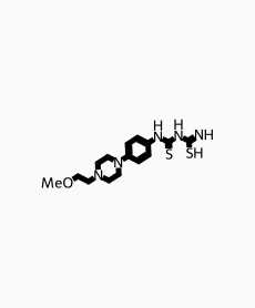 COCCN1CCN(c2ccc(NC(=S)NC(=N)S)cc2)CC1